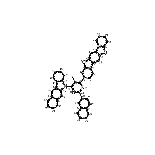 Cc1c(-c2ccc3c(c2)oc2cc4c(cc23)oc2ccccc24)nc(-c2ccc3ccccc3c2)nc1-n1c2ccccc2c2cc3ccccc3cc21